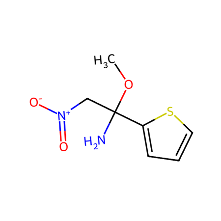 COC(N)(C[N+](=O)[O-])c1cccs1